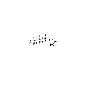 [CH2]C(O)COCC(F)(F)C(F)(F)C(F)(F)C(F)(F)C(F)(F)C(F)F